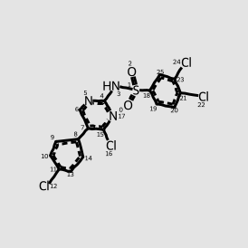 O=S(=O)(Nc1ncc(-c2ccc(Cl)cc2)c(Cl)n1)c1ccc(Cl)c(Cl)c1